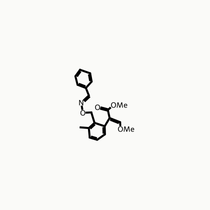 CO/C=C(/C(=O)OC)c1cccc(C)c1CO/N=C/c1ccccc1